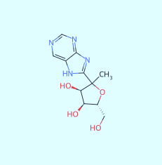 CC1(c2nc3ncncc3[nH]2)O[C@H](CO)[C@@H](O)[C@H]1O